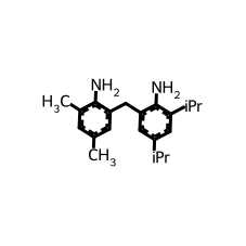 Cc1cc(C)c(N)c(Cc2cc(C(C)C)cc(C(C)C)c2N)c1